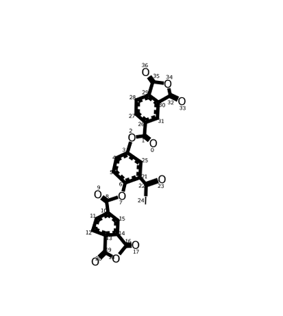 O=C(Oc1ccc(OC(=O)c2ccc3c(c2)C(=O)OC3=O)c(C(=O)I)c1)c1ccc2c(c1)C(=O)OC2=O